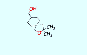 CC1(C)C[C@]2(CC[C@H](CO)CC2)CO1